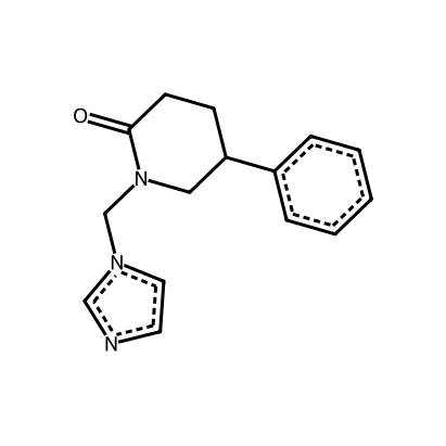 O=C1CCC(c2ccccc2)CN1Cn1ccnc1